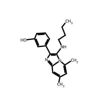 CCCCNc1c(-c2cccc(O)c2)nc2cc(C)cc(C)n12